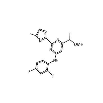 COC(C)c1cc(Nc2ccc(F)cc2F)nc(-c2nc(C)cs2)n1